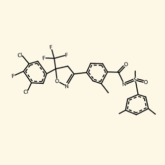 Cc1cc(C)cc(S(C)(=O)=NC(=O)c2ccc(C3=NOC(c4cc(Cl)c(F)c(Cl)c4)(C(F)(F)F)C3)cc2C)c1